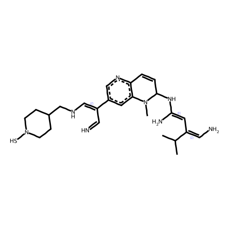 CC(C)C(=C/N)/C=C(\N)NC1C=Cc2ncc(/C(C=N)=C/NCC3CCN(S)CC3)cc2N1C